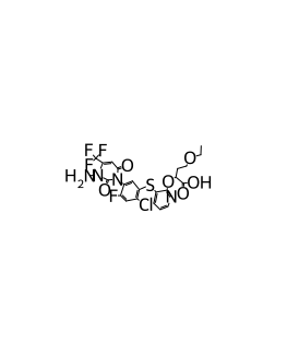 CCOCCC(Oc1ncccc1Sc1cc(-n2c(=O)cc(C(F)(F)F)n(N)c2=O)c(F)cc1Cl)C(=O)O